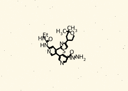 CCNC(=O)Nc1cc(-c2nc(C3CCOC(C)(C)C3)cs2)c(-c2cncc(C(=O)NN)c2)cn1